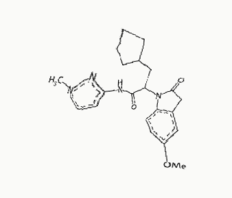 COc1ccc2c(c1)CC(=O)N2C(CC1CCCC1)C(=O)Nc1ccn(C)n1